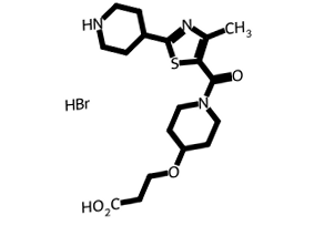 Br.Cc1nc(C2CCNCC2)sc1C(=O)N1CCC(OCCC(=O)O)CC1